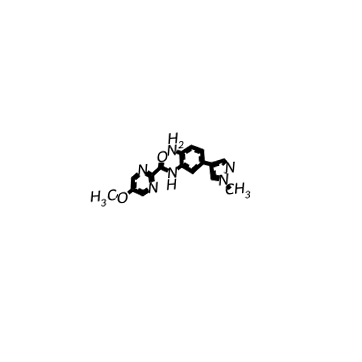 COc1cnc(C(=O)Nc2cc(-c3cnn(C)c3)ccc2N)nc1